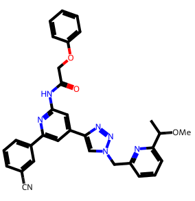 COC(C)c1cccc(Cn2cc(-c3cc(NC(=O)COc4ccccc4)nc(-c4cccc(C#N)c4)c3)nn2)n1